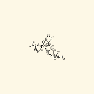 CC(C)C1CN(C(=O)c2nc3ccc(S(N)(=O)=O)cc3cc2C2CCCCC2)CCO1